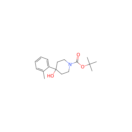 Cc1ccccc1C1(O)CCN(C(=O)OC(C)(C)C)CC1